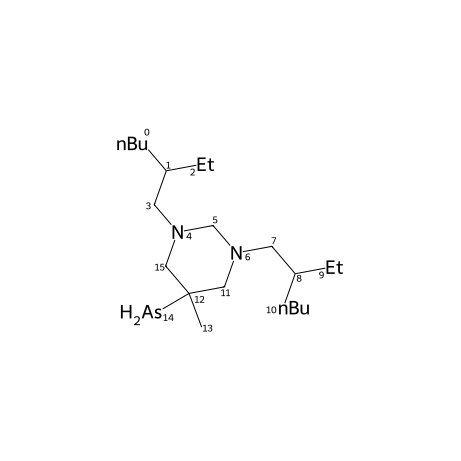 CCCCC(CC)CN1CN(CC(CC)CCCC)CC(C)([AsH2])C1